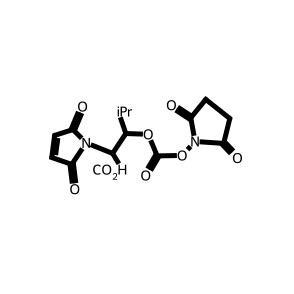 CC(C)C(OC(=O)ON1C(=O)CCC1=O)C(C(=O)O)N1C(=O)C=CC1=O